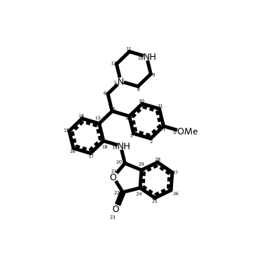 COc1ccc(C(CN2CCNCC2)c2ccccc2NC2OC(=O)c3ccccc32)cc1